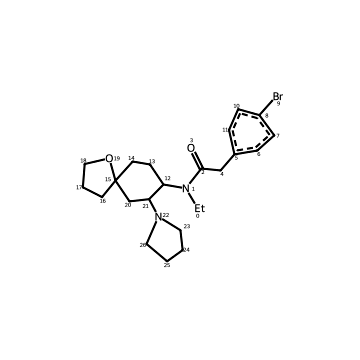 CCN(C(=O)Cc1ccc(Br)cc1)C1CCC2(CCCO2)CC1N1CCCC1